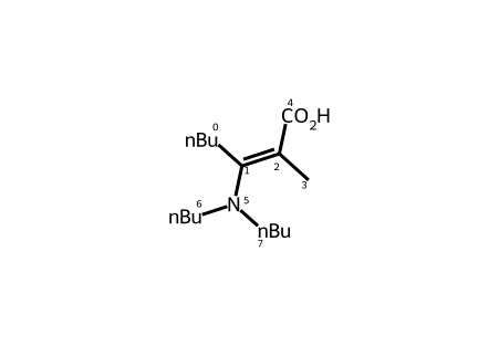 CCCC/C(=C(/C)C(=O)O)N(CCCC)CCCC